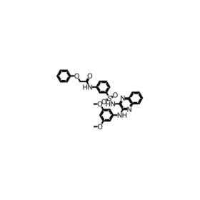 COc1cc(Nc2nc3ccccc3nc2NS(=O)(=O)c2cccc(NC(=O)COc3ccccc3)c2)cc(OC)c1